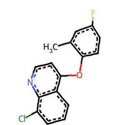 Cc1cc(F)ccc1Oc1ccnc2c(Cl)cccc12